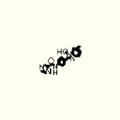 Cc1ccc2nc(-c3ccc(NC(=O)c4cnccn4)cc3)n(O)c2c1